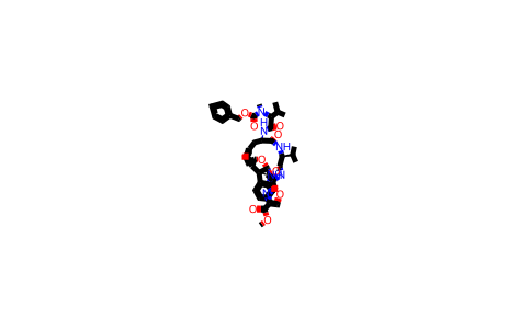 COC(=O)c1coc(-c2nc3oc2[C@@]24c5ccccc5NC2Oc2ccc(cc24)C[C@H](NC(=O)C(C(C)C)N(C)C(=O)OCc2ccccc2)C(=O)N[C@H]3C(C)C)n1